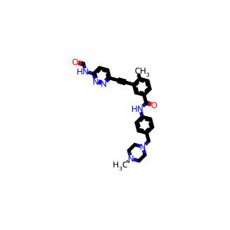 Cc1ccc(C(=O)Nc2ccc(CN3CCN(C)CC3)cc2)cc1C#Cc1ccc(NC=O)nn1